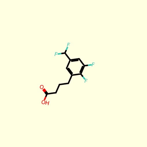 O=C(O)CCCc1cc(C(F)F)cc(F)c1F